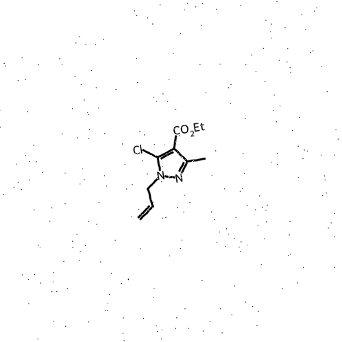 C=CCn1nc(C)c(C(=O)OCC)c1Cl